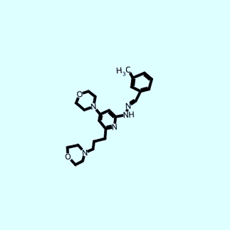 Cc1cccc(C=NNc2cc(N3CCOCC3)cc(CCCN3CCOCC3)n2)c1